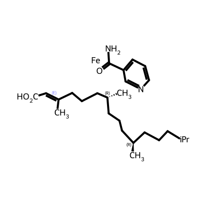 C/C(=C\C(=O)O)CCC[C@H](C)CCC[C@H](C)CCCC(C)C.NC(=O)c1cccnc1.[Fe]